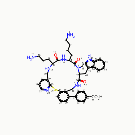 CN1C(=O)C(CCCCN)NC(=O)C(CCCN)NCc2cccnc2Sc2cccc(-c3ccc(C(=O)O)cc3)c2CNC(=O)C1Cc1c[nH]c2ccccc12